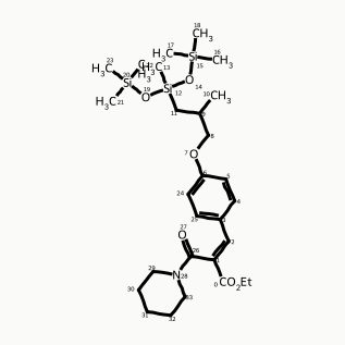 CCOC(=O)C(=Cc1ccc(OCC(C)C[Si](C)(O[Si](C)(C)C)O[Si](C)(C)C)cc1)C(=O)N1CCCCC1